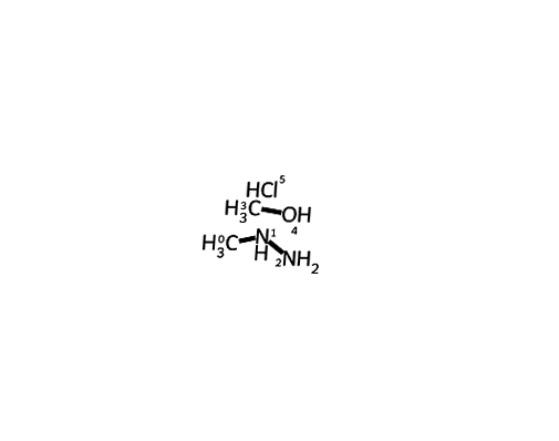 CNN.CO.Cl